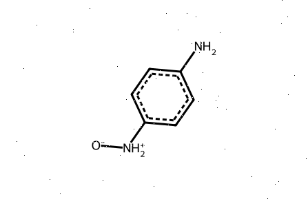 Nc1ccc([NH2+][O-])cc1